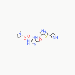 Cc1ncc(NC(=O)OC[C@@H]2CCCN2C)cc1NC(=O)c1cnn2cc(-c3cc[nH]c3)sc12